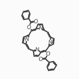 O=C(OC1=C2C=CC(=N2)C=C2C=CC(=N2)C(OC(=O)c2ccccc2)=C2C=CC(=N2)C=C2C=CC1=N2)c1ccccc1